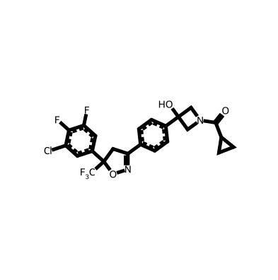 O=C(C1CC1)N1CC(O)(c2ccc(C3=NOC(c4cc(F)c(F)c(Cl)c4)(C(F)(F)F)C3)cc2)C1